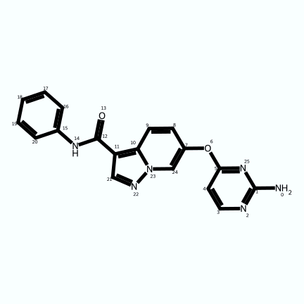 Nc1nccc(Oc2ccc3c(C(=O)Nc4ccccc4)cnn3c2)n1